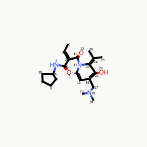 C/C=C(/C(=O)NC1CCCC1)C(=O)N1C=CC(CN(C)C)=C(O)C1=C(C)C